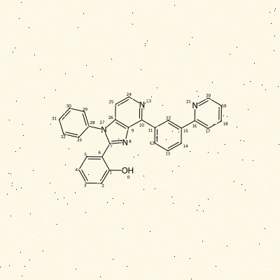 Oc1ccccc1-c1nc2c(-c3cccc(-c4ccccn4)c3)nccc2n1-c1ccccc1